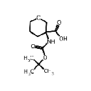 CC(C)(C)OC(=O)NC1(C(=O)O)CCCOC1